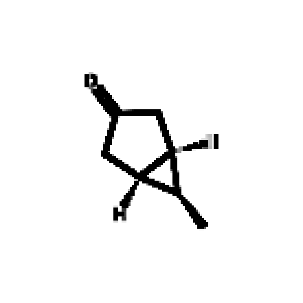 C[C@H]1[C@H]2CC(=O)C[C@@H]12